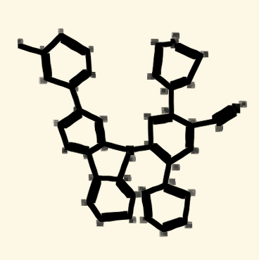 Cc1cccc(-c2ccc3c4ccccc4n(-c4cc(-c5ccncc5)c(C#N)cc4-c4ccccc4)c3c2)c1